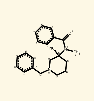 CN(C(=O)c1ccccc1)C1(C#N)CCCN(Cc2ccccc2)C1